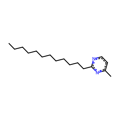 CCCCCCCCCCCCc1nccc(C)n1